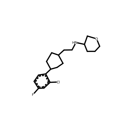 Fc1ccc(C2CCC(CCNC3CCCOC3)CC2)c(Cl)c1